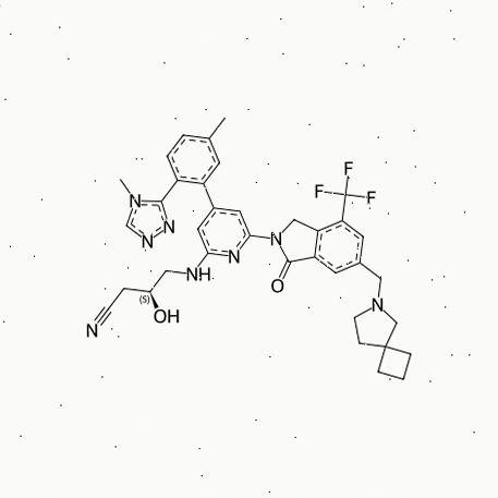 Cc1ccc(-c2nncn2C)c(-c2cc(NC[C@@H](O)CC#N)nc(N3Cc4c(cc(CN5CCC6(CCC6)C5)cc4C(F)(F)F)C3=O)c2)c1